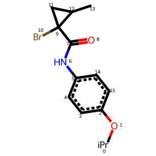 CC(C)Oc1ccc(NC(=O)C2(Br)CC2C)cc1